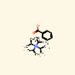 CC(C)[N+](C(C)C)(C(C)C)C(C)C.O=C([O-])c1ccccc1